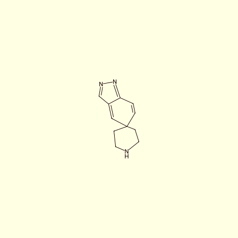 C1=CC2(C=C3C=NN=C13)CCNCC2